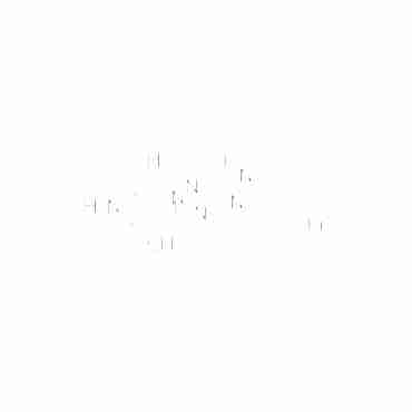 CC(C)n1nc(CC(C)(C)OC(N)=O)nc1-c1cn2c(n1)-c1ccc(Br)cc1OCC2